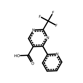 O=C(O)c1cnc(C(F)(F)F)nc1-c1ccccn1